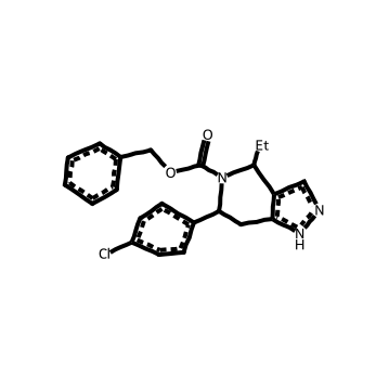 CCC1c2cn[nH]c2CC(c2ccc(Cl)cc2)N1C(=O)OCc1ccccc1